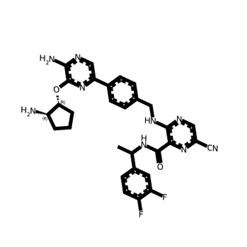 CC(NC(=O)c1nc(C#N)cnc1NCc1ccc(-c2cnc(N)c(O[C@@H]3CCC[C@H]3N)n2)cc1)c1ccc(F)c(F)c1